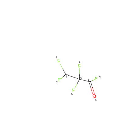 O=C(F)C(F)(F)[C](F)F